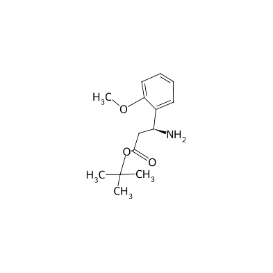 COc1ccccc1[C@@H](N)CC(=O)OC(C)(C)C